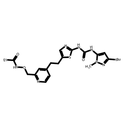 CCC(=O)NOCc1cc(CCc2cnc(NC(=O)Nc3cc(C(C)(C)C)nn3C)s2)ccn1